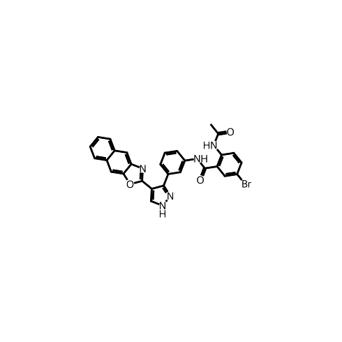 CC(=O)Nc1ccc(Br)cc1C(=O)Nc1cccc(-c2n[nH]cc2-c2nc3cc4ccccc4cc3o2)c1